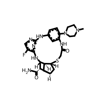 CN1CCN(c2ccc3cc2NC(=O)CS[C@@H]2C[C@@H]4C[C@H]2[C@@H](Nc2nc(ncc2F)N3)[C@H]4C(N)=O)CC1